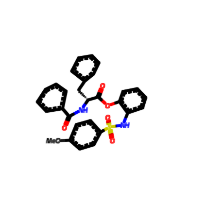 COc1ccc(S(=O)(=O)Nc2ccccc2OC(=O)[C@@H](Cc2ccccc2)NC(=O)c2ccccc2)cc1